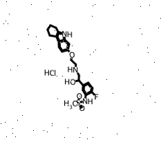 CS(=O)(=O)Nc1cc(C(O)CNCCOc2ccc3c4c([nH]c3c2)CCCC4)ccc1F.Cl